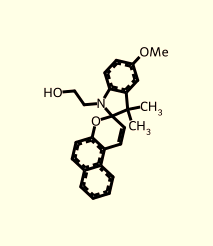 COc1ccc2c(c1)C(C)(C)C1(C=Cc3c(ccc4ccccc34)O1)N2CCO